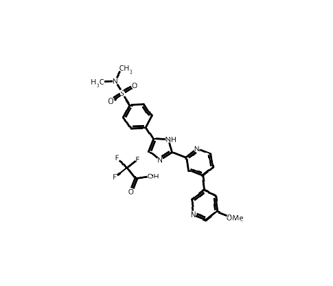 COc1cncc(-c2ccnc(-c3ncc(-c4ccc(S(=O)(=O)N(C)C)cc4)[nH]3)c2)c1.O=C(O)C(F)(F)F